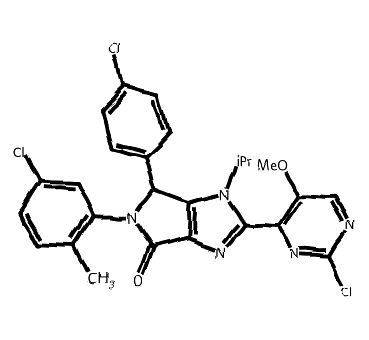 COc1cnc(Cl)nc1-c1nc2c(n1C(C)C)C(c1ccc(Cl)cc1)N(c1cc(Cl)ccc1C)C2=O